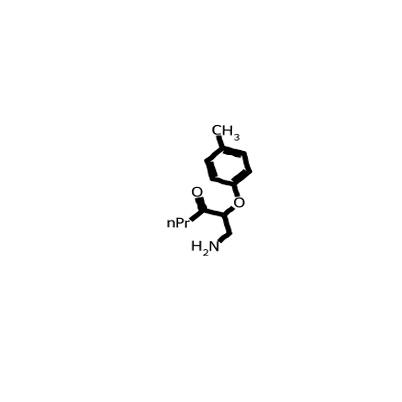 CCCC(=O)C(CN)Oc1ccc(C)cc1